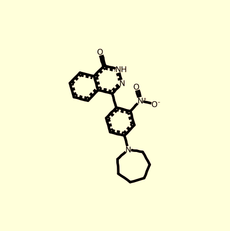 O=c1[nH]nc(-c2ccc(N3CCCCCC3)cc2[N+](=O)[O-])c2ccccc12